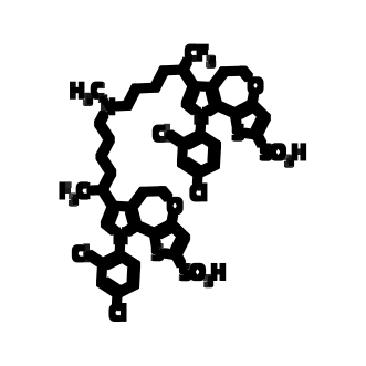 CN(CCCCC(c1cn(-c2ccc(Cl)cc2Cl)c2c1CCOc1cc(S(=O)(=O)O)sc1-2)C(F)(F)F)CCCCC(c1cn(-c2ccc(Cl)cc2Cl)c2c1CCOc1cc(S(=O)(=O)O)sc1-2)C(F)(F)F